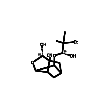 CCC(C)(C)[C@H](O)OC1C2CC3C1O[C@H](O)C3(C#N)C2